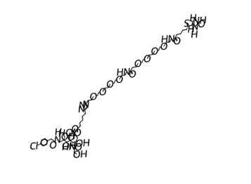 O=C(CCCC[C@H]1SC[C@H]2NC(=O)N[C@H]21)NCCOCCOCCOCCOCCC(=O)NCCOCCOCCOCCOCCn1cc(CCCCCCO[C@]2(C(=O)O)C[C@H](O)[C@@H](NC(=O)CO)[C@H]([C@H](O)[C@H](O)CNC(=O)Cc3ccc(Cl)cc3)O2)nn1